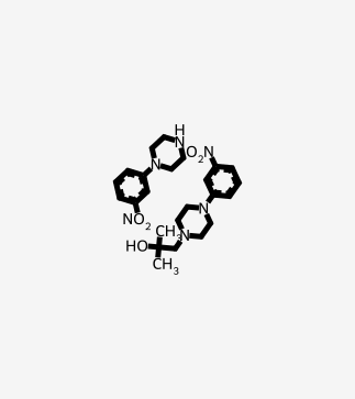 CC(C)(O)CN1CCN(c2cccc([N+](=O)[O-])c2)CC1.O=[N+]([O-])c1cccc(N2CCNCC2)c1